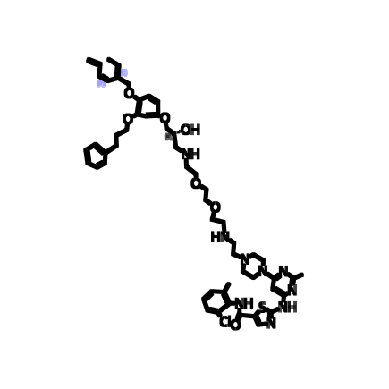 C=C/C=C\C(=C/C)COc1ccc(OC[C@H](O)CNCCOCCOCCNCCN2CCN(c3cc(Nc4ncc(C(=O)Nc5c(C)cccc5Cl)s4)nc(C)n3)CC2)cc1OCCCc1ccccc1